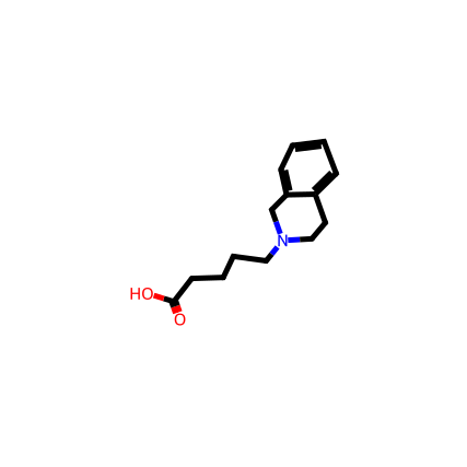 O=C(O)CCCCN1CCc2ccccc2C1